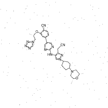 C[C@@H]1CN(C2CCC(n3cc(Nc4ncc(-c5ccc(C#N)c(O[C@@H](C)Cn6cnnn6)c5)cn4)c(CC#N)n3)CC2)C[C@H](C)O1